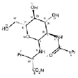 CCCC(=O)N[C@H]1C(N[C@H](C(=O)O)C(C)C)O[C@H](CO)[C@@H](O)[C@@H]1O